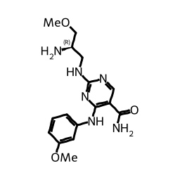 COC[C@H](N)CNc1ncc(C(N)=O)c(Nc2cccc(OC)c2)n1